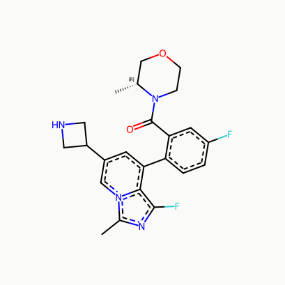 Cc1nc(F)c2c(-c3ccc(F)cc3C(=O)N3CCOC[C@H]3C)cc(C3CNC3)cn12